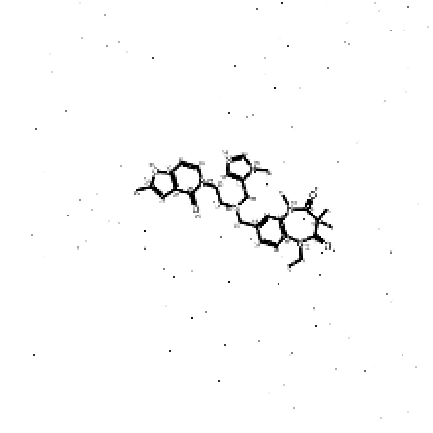 CCN1C(=O)C(C)(C)C(=O)N(C)c2cc(CN(CCn3ccc4oc(C)cc4c3=O)Cc3cncn3C)ccc21